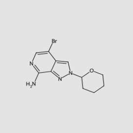 Nc1ncc(Br)c2cn(C3CCCCO3)nc12